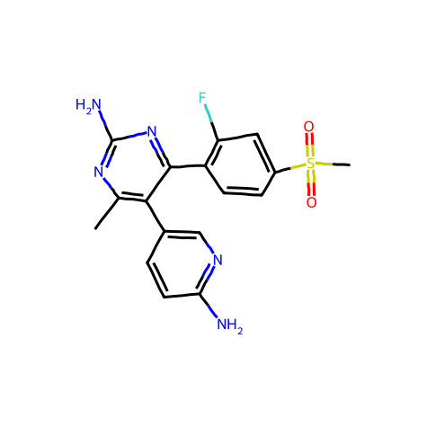 Cc1nc(N)nc(-c2ccc(S(C)(=O)=O)cc2F)c1-c1ccc(N)nc1